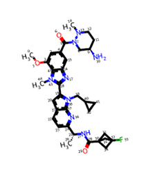 COc1cc(C(=O)N2C[C@H](N)CCN2C)cc2nc(-c3cc4ccc([C@@H](C)NC(=O)C56CC(F)(C5)C6)nc4n3CC3CC3)n(C)c12